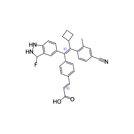 Cc1cc(C#N)ccc1/C(=C(\c1ccc(/C=C/C(=O)O)cc1)c1ccc2c(c1)C(F)NN2)C1CCC1